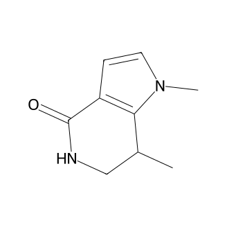 CC1CNC(=O)c2ccn(C)c21